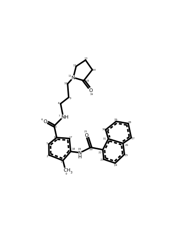 Cc1ccc(C(=O)NCCCN2CCCC2=O)cc1NC(=O)c1cccc2ccccc12